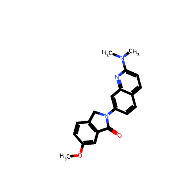 COc1ccc2c(c1)C(=O)N(c1ccc3ccc(N(C)C)nc3c1)C2